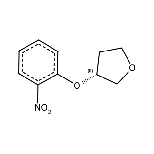 O=[N+]([O-])c1ccccc1O[C@@H]1CCOC1